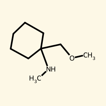 CNC1(COC)CCCCC1